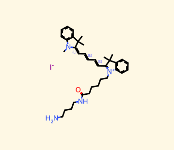 CN1/C(=C/C=C/C=C/C2=[N+](CCCCCC(=O)NCCCCN)c3ccccc3C2(C)C)C(C)(C)c2ccccc21.[I-]